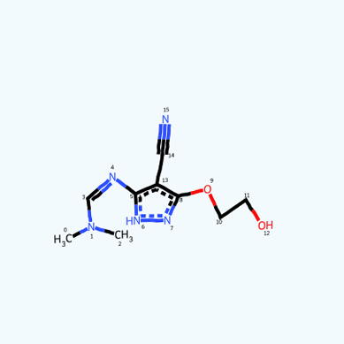 CN(C)/C=N\c1[nH]nc(OCCO)c1C#N